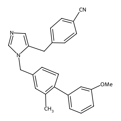 COc1cccc(-c2ccc(Cn3cncc3Cc3ccc(C#N)cc3)cc2C)c1